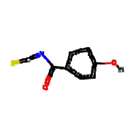 CCOc1ccc(C(=O)N=C=S)cc1